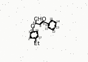 CCc1ccc(OC(C=O)/C=C/c2ccccc2)cc1